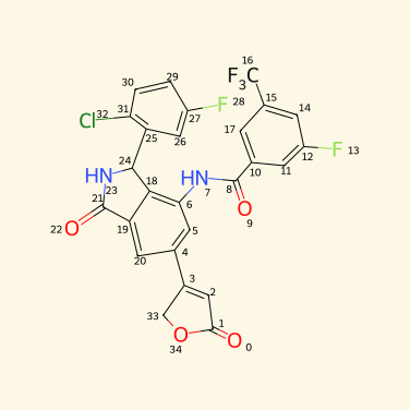 O=C1C=C(c2cc(NC(=O)c3cc(F)cc(C(F)(F)F)c3)c3c(c2)C(=O)NC3c2cc(F)ccc2Cl)CO1